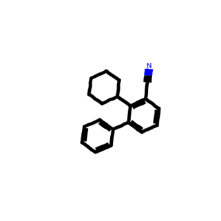 N#Cc1cccc(-c2ccccc2)c1C1CCCCC1